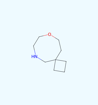 C1CC2(C1)CCOCCNC2